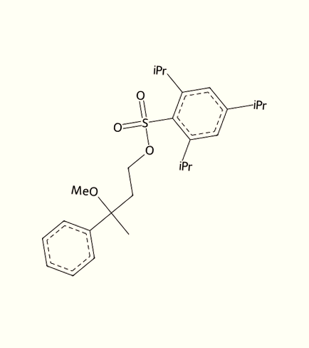 COC(C)(CCOS(=O)(=O)c1c(C(C)C)cc(C(C)C)cc1C(C)C)c1ccccc1